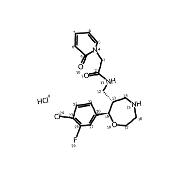 Cl.O=C(Cn1ccccc1=O)NC[C@@H]1CNCCO[C@H]1c1ccc(Cl)c(F)c1